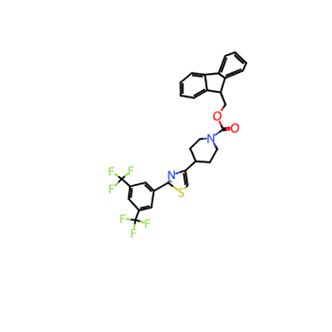 O=C(OCC1c2ccccc2-c2ccccc21)N1CCC(c2csc(-c3cc(C(F)(F)F)cc(C(F)(F)F)c3)n2)CC1